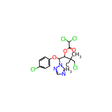 CC(C)(CCl)C(OC(=O)C(Cl)Cl)C(Oc1ccc(Cl)cc1)n1cncn1